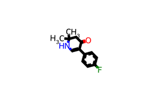 CC1(C)CC(=O)C(c2ccc(F)cc2)=CN1